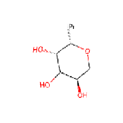 CC(C)[C@@H]1OC[C@@H](O)C(O)[C@@H]1O